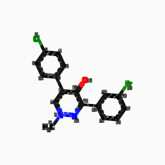 Cn1cc(-c2ccc(Cl)cc2)c(=O)c(-c2cccc(Br)c2)n1